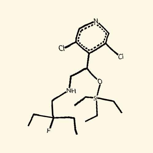 CCC(F)(CC)CNCC(O[Si](CC)(CC)CC)c1c(Cl)cncc1Cl